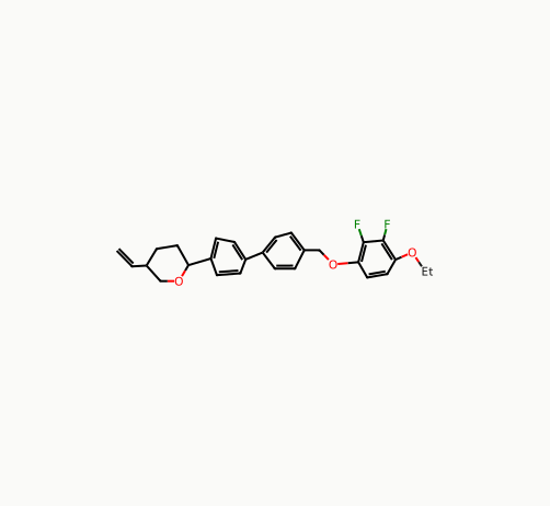 C=CC1CCC(c2ccc(-c3ccc(COc4ccc(OCC)c(F)c4F)cc3)cc2)OC1